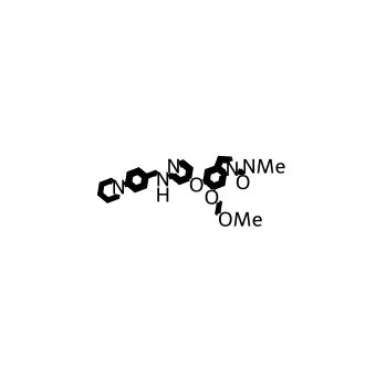 CNC(=O)n1ccc2cc(Oc3ccnc(NCc4ccc(N5CCCCC5)cc4)c3)c(OCCOC)cc21